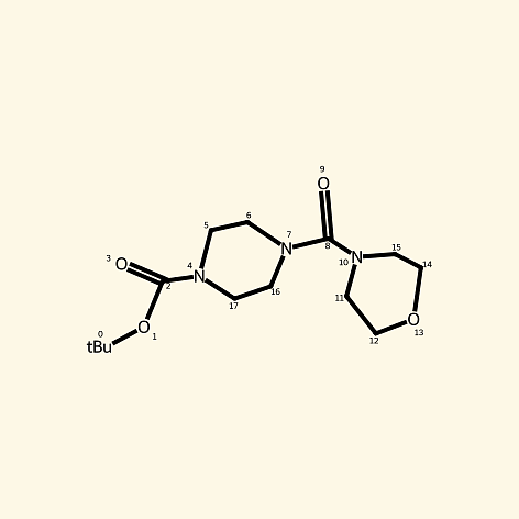 CC(C)(C)OC(=O)N1CCN(C(=O)N2CCOCC2)CC1